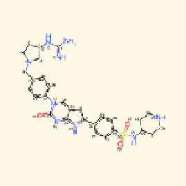 N=C(N)N[C@@H]1CCN(Cc2ccc(-n3cc4cc(-c5ccc(S(=O)(=O)NC6CCNCC6)cc5)[nH]c4nc3=O)cc2)C1